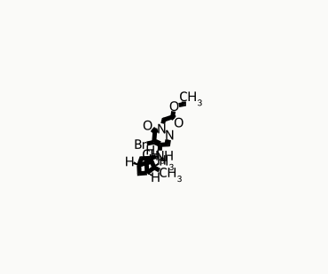 CCOC(=O)Cn1ncc(N[C@@H]2C[C@H]3C[C@H]([C@@H]2C)C3(C)C)c(Br)c1=O